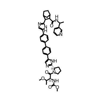 COC(=O)N[C@H](C(=O)N1CCC[C@H]1c1ncc(-c2ccc(-c3ccc(-c4cnc(C5C6CCC(C6)C5C(=O)NC(C)c5cccnc5)[nH]4)cc3)cc2)[nH]1)C(C)OC